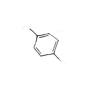 Cc1ccc(N)cc1.[Fe]